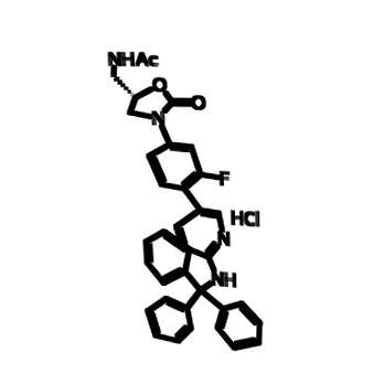 CC(=O)NC[C@H]1CN(c2ccc(-c3ccc(NC(c4ccccc4)(c4ccccc4)c4ccccc4)nc3)c(F)c2)C(=O)O1.Cl